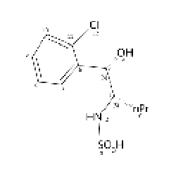 CCC[C@H](NS(=O)(=O)O)[C@@H](O)c1ccccc1Cl